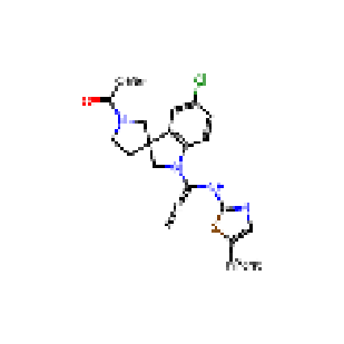 C=C=C(Nc1ncc(CCCCC)s1)N1CC2(CCN(C(=O)OC)C2)c2cc(Cl)ccc21